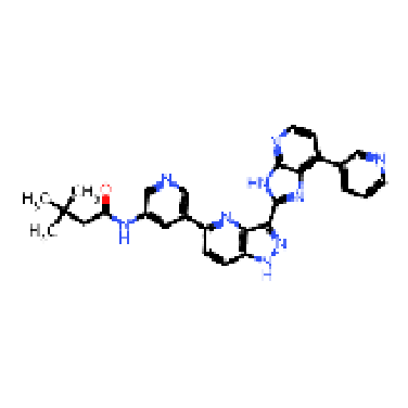 CC(C)(C)CC(=O)Nc1cncc(-c2ccc3[nH]nc(-c4nc5c(-c6cccnc6)ccnc5[nH]4)c3n2)c1